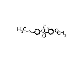 CCCCc1ccc(OC(=O)c2ccc(OC)cc2Cl)cc1